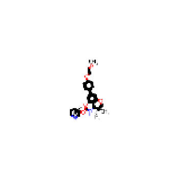 COCCOc1ccc(-c2ccc3c(c2)OCC(C)(C)C3NC(=O)O[C@H]2CN3CCC2CC3)cc1